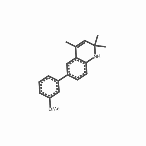 COc1cccc(-c2ccc3c(c2)C(C)=CC(C)(C)N3)c1